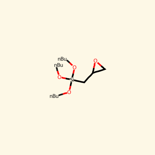 CCCCO[Si](CC1CO1)(OCCCC)OCCCC